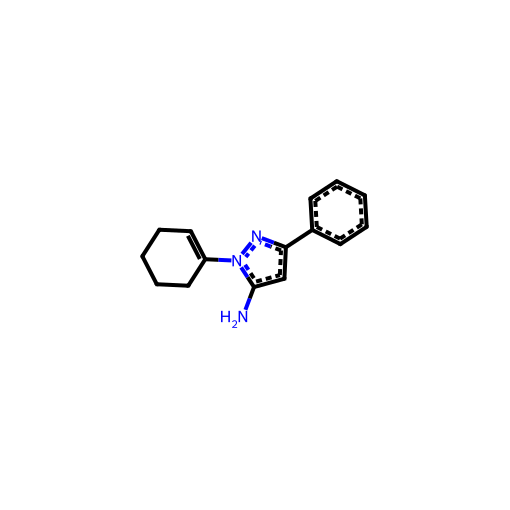 Nc1cc(-c2ccccc2)nn1C1=CCCCC1